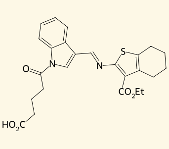 CCOC(=O)c1c(N=Cc2cn(C(=O)CCCC(=O)O)c3ccccc23)sc2c1CCCC2